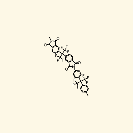 Cc1ccc(C(c2ccc(N3C(=O)c4ccc(C(c5ccc6c(c5)C(=O)N(C)C6=O)(C(F)(F)F)C(F)(F)F)cc4C3=O)cc2)(C(F)(F)F)C(F)(F)F)cc1